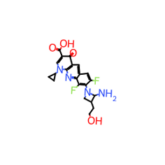 NC1C(CCO)CN1c1c(F)cc2cc3c(=O)c(C(=O)O)cn(C4CC4)c3nc2c1F